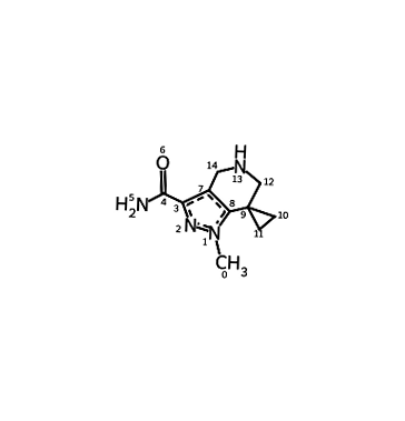 Cn1nc(C(N)=O)c2c1C1(CC1)CNC2